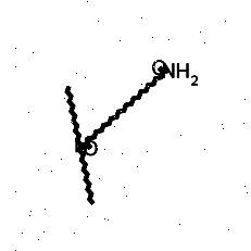 CCCCCCCCCCCCN(CCCCCCCCCCCC)C(=O)CCCCCCCCCCCCCCCCCCCCC(N)=O